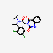 CC(C)N(C(=O)Cn1c(=O)[nH]c2ccccc2c1=O)C(C)c1ccc(F)cc1F